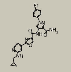 CCc1ccc(-n2cc(NC(=O)c3coc(-c4ccnc(NCC5CC5)c4)n3)c(C(N)=O)n2)cc1